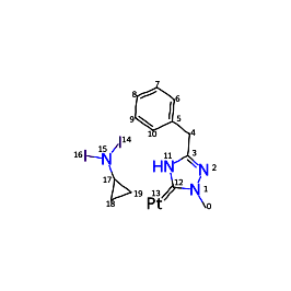 Cn1nc(Cc2ccccc2)[nH][c]1=[Pt].IN(I)C1CC1